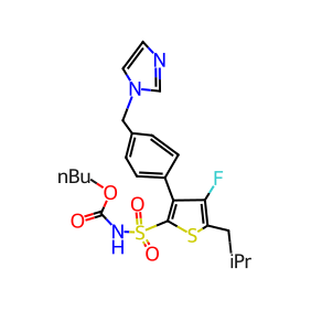 CCCCOC(=O)NS(=O)(=O)c1sc(CC(C)C)c(F)c1-c1ccc(Cn2ccnc2)cc1